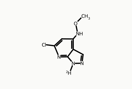 [2H]n1ncc2c(NOC)cc(Cl)nc21